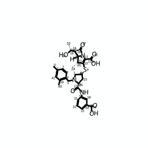 Cc1ccc(CN2C[C@@H](SC3=C(C(=O)O)N4C(=O)[C@H]([C@@H](C)O)[C@H]4[C@H]3C)C[C@H]2C(=O)Nc2cccc(C(=O)O)c2)c(C)c1